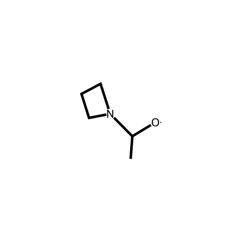 CC([O])N1CCC1